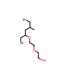 CC(C)CC(C)CC(CC(C)C)OCCOCCO